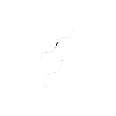 CC(=O)O[C@H]1CC[C@H](O)CC1